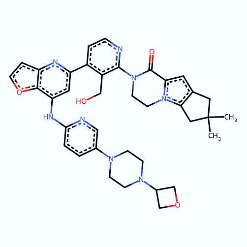 CC1(C)Cc2cc3n(c2C1)CCN(c1nccc(-c2cc(Nc4ccc(N5CCN(C6COC6)CC5)cn4)c4occc4n2)c1CO)C3=O